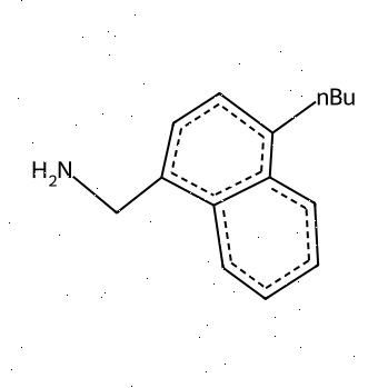 CCCCc1ccc(CN)c2ccccc12